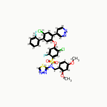 COc1ccc(CN(c2nncs2)S(=O)(=O)c2cc(Cl)c(Oc3cc(-c4ccccc4F)c(Cl)cc3-c3ccnnc3)cc2F)c(OC)c1